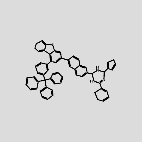 C1=CCCC(C2=NC(C3=CCC=C3)NC(c3ccc4cc(-c5cc(-c6cccc(C(c7ccccc7)(c7ccccc7)c7ccccc7)c6)c6c7c(sc6c5)=CCCC=7)ccc4c3)N2)=C1